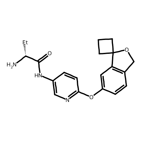 CC[C@@H](N)C(=O)Nc1ccc(Oc2ccc3c(c2)C2(CCC2)OC3)nc1